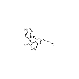 C[C@H]1C(=O)N(c2ccc3[nH]cnc3c2)[C@H]1c1c(F)cc(OCCC2CC2)cc1P